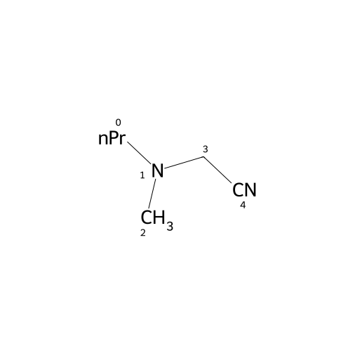 [CH2]CCN(C)CC#N